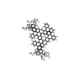 CC(C)(C)c1cc(-c2cc3c4c(c2)N(c2ccccc2-c2ccccc2)c2cc5c(cc2B4c2ccc(-c4ccccc4-c4ccccc4)cc2O3)B2c3ccc(-c4ccccc4-c4ccccc4)cc3Sc3cc(-c4cc(C(C)(C)C)cc(C(C)(C)C)c4)cc(c32)N5c2ccccc2-c2ccccc2)cc(C(C)(C)C)c1